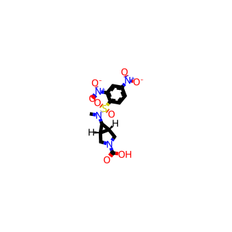 CN(C1[C@H]2CN(C(=O)O)C[C@@H]12)S(=O)(=O)c1ccc([N+](=O)[O-])cc1[N+](=O)[O-]